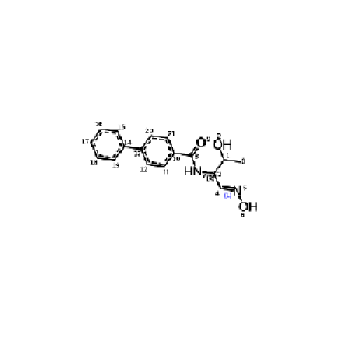 CC(O)[C@@H](/C=N/O)NC(=O)c1ccc(-c2ccccc2)cc1